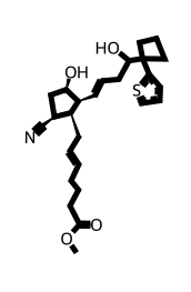 COC(=O)CCCC=CC[C@@H]1[C@H](C=CCC(O)C2(c3cccs3)CCC2)[C@H](O)C[C@@H]1C#N